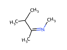 CN=C(C)C(C)C